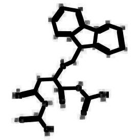 N=C(CC(OCC1c2ccccc2-c2ccccc21)C(=O)OC(=O)O)OC(=O)O